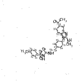 CNc1nc2cc(C(C)=O)ccc2n1-c1ccc(CCNC(=O)NS(=O)(=O)c2ccc(C)cc2)cc1